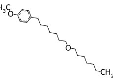 [CH2]CCCCCCOCCCCCCCc1ccc(OC)cc1